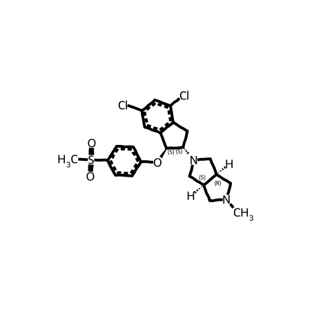 CN1C[C@@H]2CN([C@H]3Cc4c(Cl)cc(Cl)cc4[C@@H]3Oc3ccc(S(C)(=O)=O)cc3)C[C@@H]2C1